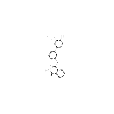 Nc1ccc(-c2cccc(Cc3n[nH]c(=O)c4ccccc34)c2)cc1[N+](=O)[O-]